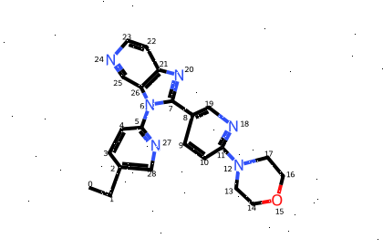 CCc1ccc(-n2c(-c3ccc(N4CCOCC4)nc3)nc3ccncc32)nc1